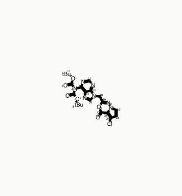 CC(C)(C)OC(=O)N(C(=O)OC(C)(C)C)c1ncnc2c1ncn2Cc1nn2ccc(Cl)c2c(=O)o1